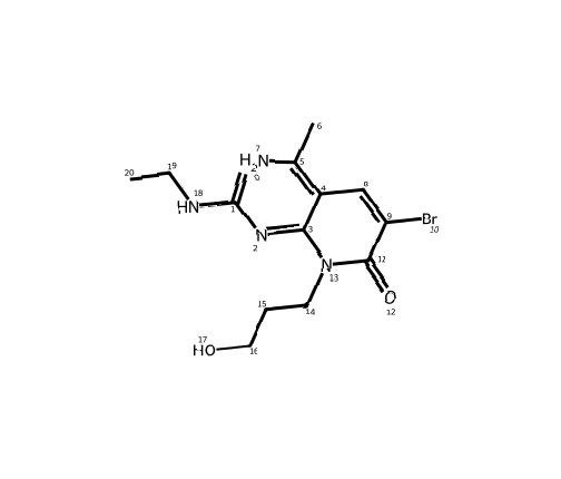 C=C(/N=C1\C(=C(\C)N)C=C(Br)C(=O)N1CCCO)NCC